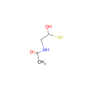 CC(=O)NCC(O)S